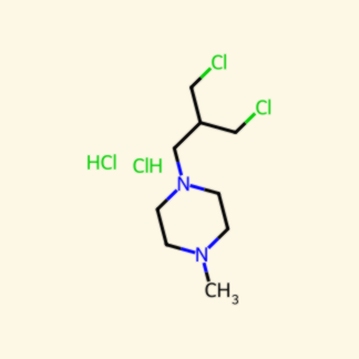 CN1CCN(CC(CCl)CCl)CC1.Cl.Cl